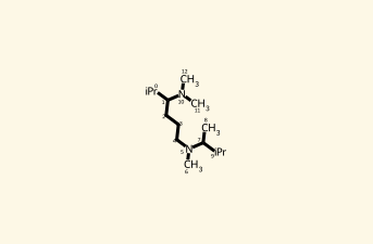 CC(C)C(CCCN(C)C(C)C(C)C)N(C)C